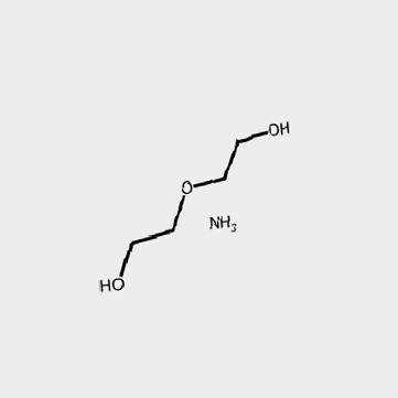 N.OCCOCCO